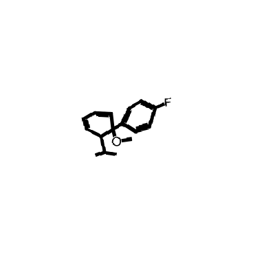 COC1(c2ccc(F)cc2)C=CC=CC1C(C)C